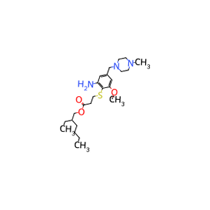 CCCCC(CC)COC(=O)CCSc1c(N)cc(CN2CCN(C)CC2)cc1OC